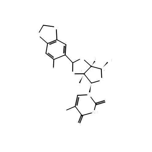 C[C@H]1O[C@@H](n2cc(F)c(=O)[nH]c2=O)[C@@H]2OC(c3cc4c(cc3F)OCO4)O[C@@H]21